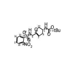 CC(C)(C)OC(=O)N[C@@H]1CC=C(CNS(=O)(=O)c2ccccc2[N+](=O)[O-])OC1